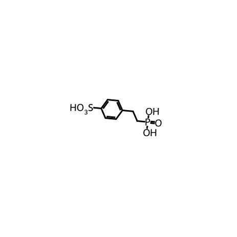 O=P(O)(O)CCc1ccc(S(=O)(=O)O)cc1